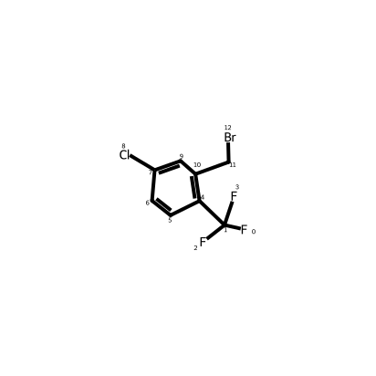 FC(F)(F)c1ccc(Cl)cc1CBr